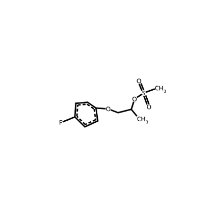 CC(COc1ccc(F)cc1)OS(C)(=O)=O